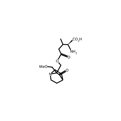 COCC1(COC(=O)CC(C)[C@H](N)C(=O)O)C(=O)C2CCN1CC2